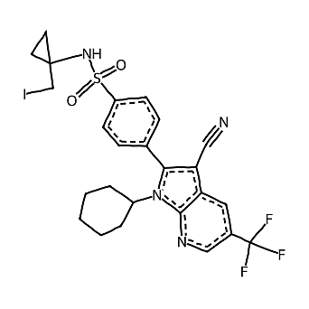 N#Cc1c(-c2ccc(S(=O)(=O)NC3(CI)CC3)cc2)n(C2CCCCC2)c2ncc(C(F)(F)F)cc12